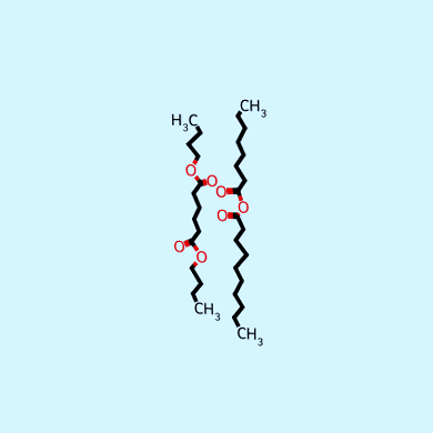 CCCCCCCCCC(=O)OC(=O)CCCCCCC.CCCCOC(=O)CCCCC(=O)OCCCC